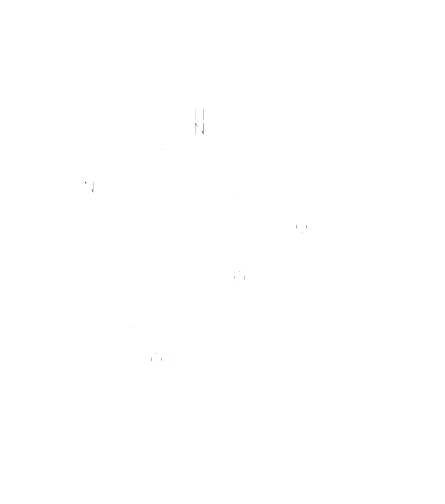 CCOC(=O)c1c[nH]c2cnc3ccc(OC)cc3c12